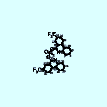 CP(=O)(Oc1nc2ccccc2c2ccc(C(F)(F)F)cc12)Oc1nc2ccccc2c2ccc(C(F)(F)F)cc12